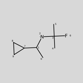 CC([N]C(C)(C)F)C1CC1